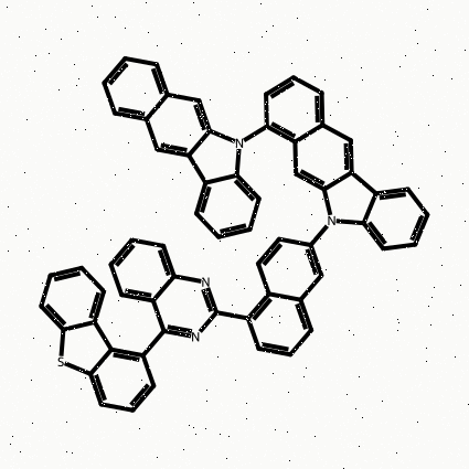 c1ccc2cc3c(cc2c1)c1ccccc1n3-c1cccc2cc3c4ccccc4n(-c4ccc5c(-c6nc(-c7cccc8sc9ccccc9c78)c7ccccc7n6)cccc5c4)c3cc12